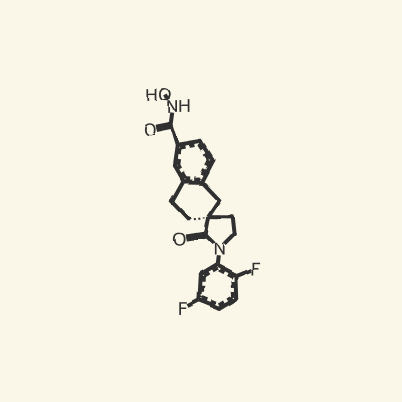 O=C(NO)c1ccc2c(c1)CC[C@@]1(CCN(c3cc(F)ccc3F)C1=O)C2